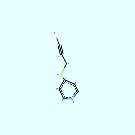 IC#CCSc1ccncc1